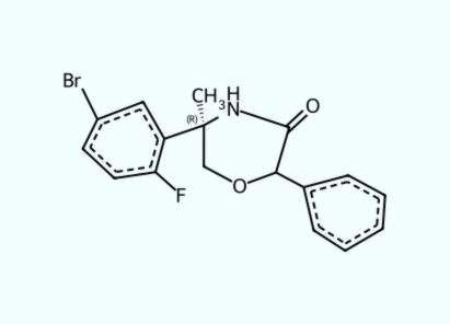 C[C@@]1(c2cc(Br)ccc2F)COC(c2ccccc2)C(=O)N1